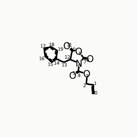 C=CCOC(=O)N1C(=O)OC(=O)C1Cc1ccccc1